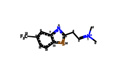 C[N+](C)=CCc1nc2cc(C(F)(F)F)ccc2s1